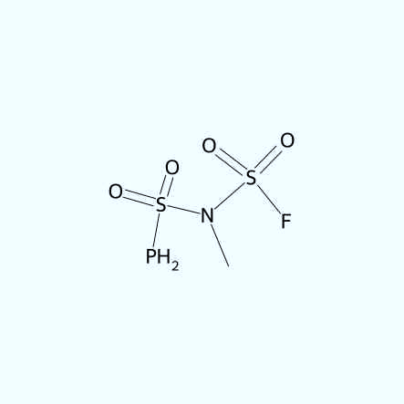 CN(S(=O)(=O)F)S(=O)(=O)P